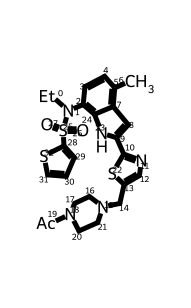 CCN(c1ccc(C)c2cc(-c3ncc(CN4CCN(C(C)=O)CC4)s3)[nH]c12)S(=O)(=O)c1cccs1